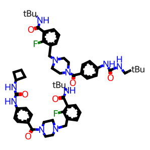 CC(C)(C)CNC(=O)Nc1ccc(C(=O)N2CCN(Cc3cccc(C(=O)NC(C)(C)C)c3F)CC2)cc1.CC(C)(C)NC(=O)c1cccc(CN2CCN(C(=O)c3ccc(NC(=O)NC4CCC4)cc3)CC2)c1F